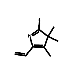 C=CC1=C(C)C(C)(C)C(C)=N1